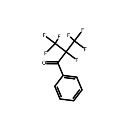 O=C(c1ccccc1)C(F)(C(F)(F)F)C(F)(F)F